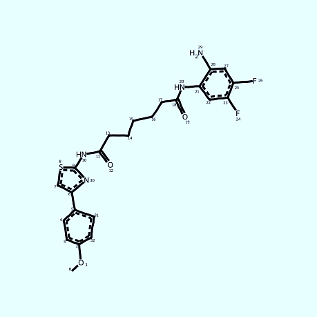 COc1ccc(-c2csc(NC(=O)CCCCCC(=O)Nc3cc(F)c(F)cc3N)n2)cc1